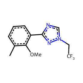 COc1c(C)cccc1-c1ncn(CC(F)(F)F)n1